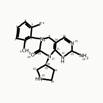 Cc1cccc(F)c1N1CC2=C(NC(N)N=C2)N([C@H]2CCNC2)C1=O